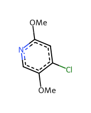 COc1cc(Cl)c(OC)cn1